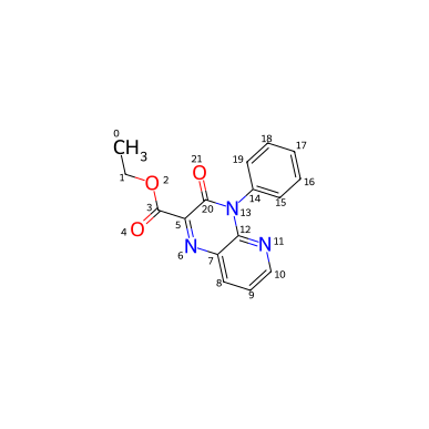 CCOC(=O)c1nc2cccnc2n(-c2ccccc2)c1=O